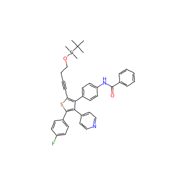 CC(C)(C)[Si](C)(C)OCCC#Cc1sc(-c2ccc(F)cc2)c(-c2ccncc2)c1-c1ccc(NC(=O)c2ccccc2)cc1